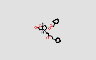 O=C(/C=C/[C@@H]1[C@H]2CC(=O)O[C@H]2C[C@H]1OOCc1ccccc1)CCc1ccccc1